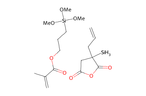 C=C(C)C(=O)OCCC[Si](OC)(OC)OC.C=CCC1([SiH3])CC(=O)OC1=O